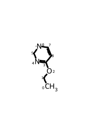 CCOC1=NC[N]C=C1